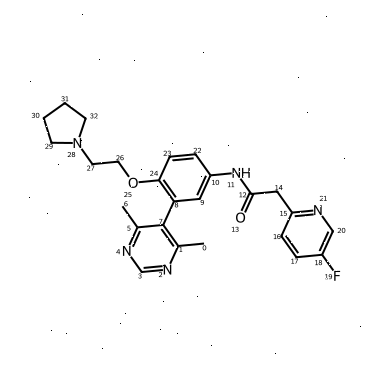 Cc1ncnc(C)c1-c1cc(NC(=O)Cc2ccc(F)cn2)ccc1OCCN1CCCC1